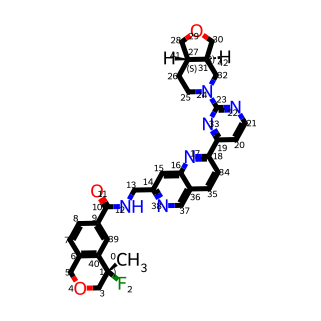 C[C@@]1(F)COCc2ccc(C(=O)NCc3cc4nc(-c5ccnc(N6CC[C@@H]7COC[C@H]7C6)n5)ccc4cn3)cc21